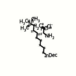 C=CCN.CCCCCCCCCCCCCCCCCC[N+](C)(C)C.Cl.[Cl-]